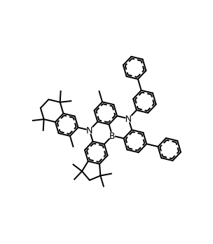 Cc1cc2c3c(c1)N(c1cc4c(cc1C)C(C)(C)CCC4(C)C)c1cc4c(cc1B3c1ccc(-c3ccccc3)cc1N2c1cccc(-c2ccccc2)c1)C(C)(C)CC4(C)C